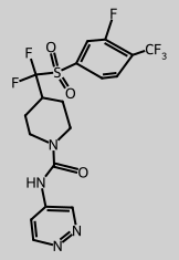 O=C(Nc1ccnnc1)N1CCC(C(F)(F)S(=O)(=O)c2ccc(C(F)(F)F)c(F)c2)CC1